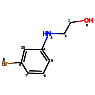 OCCNc1cccc(Br)c1